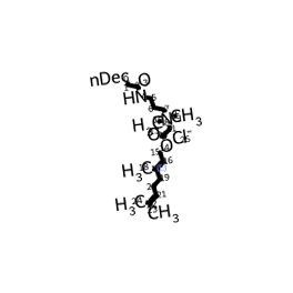 CCCCCCCCCCCC(=O)NCCC[N+](C)(C)CC(=O)OC/C=C(\C)CCC=C(C)C.[Cl-]